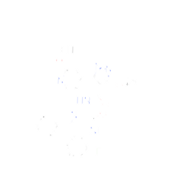 COc1cc(-c2nn3c(c2C(=O)N[C@H]2N=C(c4ccccc4)c4cccc(F)c4NC2=O)O[C@H](C)CC3)ccn1